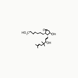 CC(C)=CCC(C)(C)[C@H](O)/C=C/[C@H]1[C@H](O)CC(=O)[C@@H]1CCCCCCC(=O)O